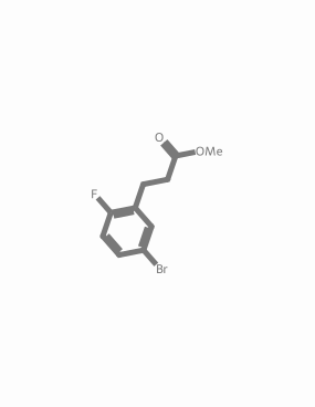 COC(=O)CCc1cc(Br)ccc1F